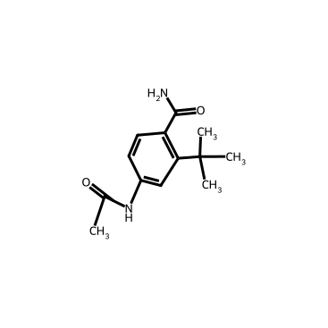 CC(=O)Nc1ccc(C(N)=O)c(C(C)(C)C)c1